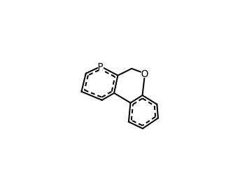 c1ccc2c(c1)OCc1pcccc1-2